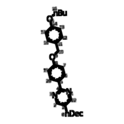 CCCCCCCCCCc1cnc(-c2ccc(OCc3ccc(OCCCC)cc3)cc2)nc1